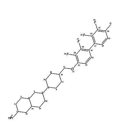 CCCC1CCC2CC(C3CCC(COc4ccc(-c5ccc(C)c(F)c5F)c(F)c4F)CC3)CCC2C1